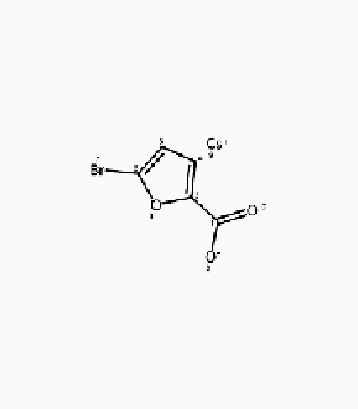 O=C([O-])c1ccc(Br)o1.[Cs+]